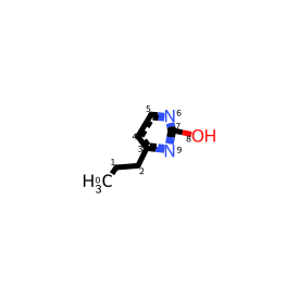 CCCc1ccnc(O)n1